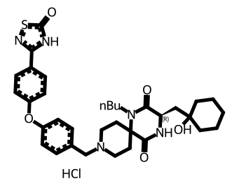 CCCCN1C(=O)[C@@H](CC2(O)CCCCC2)NC(=O)C12CCN(Cc1ccc(Oc3ccc(-c4nsc(=O)[nH]4)cc3)cc1)CC2.Cl